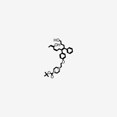 C/C=C(O)\C=C/C/C(=C(\CCCO)c1ccccc1)c1ccc(OCCN2CCN(C(=O)OC(C)(C)C)CC2)cc1